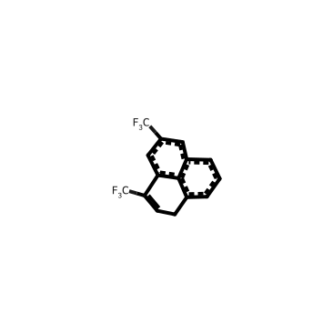 FC(F)(F)C1=CCc2cccc3cc(C(F)(F)F)cc1c23